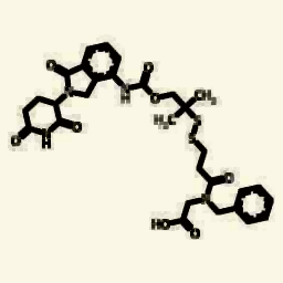 CC(C)(COC(=O)Nc1cccc2c1CN(C1CCC(=O)NC1=O)C2=O)SSCCC(=O)N(CC(=O)O)Cc1ccccc1